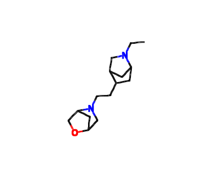 CCN1CC2CC1CC2CCN1CC2CC1CO2